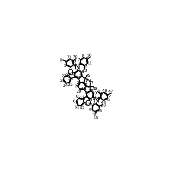 Cc1ccc(N(c2ccc(C)cc2C)c2cc3c(c4c2oc2ccccc24)-c2ccc4c(c2C3(C)C)C(C)(C)c2cc(N(c3ccc(C)cc3C)c3ccc(C)cc3C)c3oc5ccccc5c3c2-4)c(C)c1